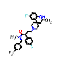 C=C1CC2(CCN(CCC(C(=O)N(C)Cc3ccc(C(F)(F)F)cc3)c3ccc(F)cc3)CC2)c2cc(F)ccc2N1